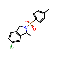 Cc1ccc(S(=O)(=O)N2Cc3ccc(Br)cc3C2C)cc1